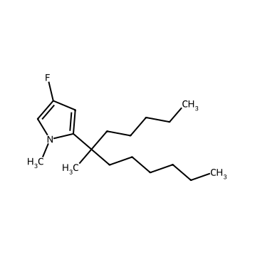 CCCCCCC(C)(CCCCC)c1cc(F)cn1C